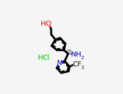 Cl.N[C@@H](c1ccc(CCO)cc1)c1ncccc1C(F)(F)F